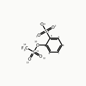 [O]S(=O)(=O)c1ccccc1OS(=O)(=O)C(F)(F)F